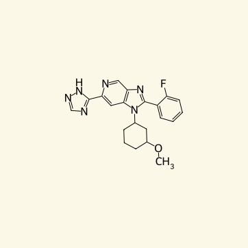 COC1CCCC(n2c(-c3ccccc3F)nc3cnc(-c4ncn[nH]4)cc32)C1